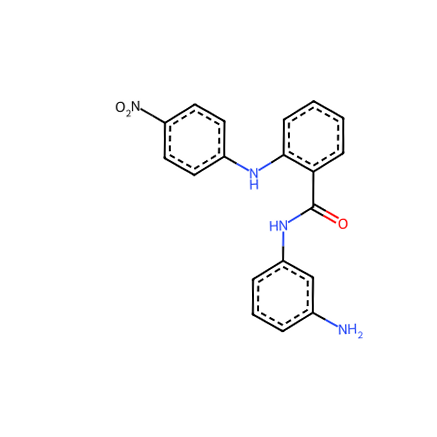 Nc1cccc(NC(=O)c2ccccc2Nc2ccc([N+](=O)[O-])cc2)c1